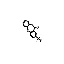 O=C1Cc2ccccc2Sc2ccc(C(F)(F)F)cc21